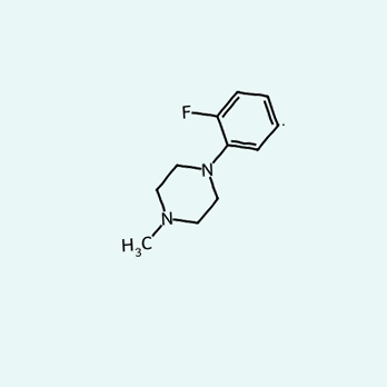 CN1CCN(c2c[c]ccc2F)CC1